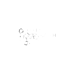 C#Cc1cc(F)ccc1[C@@H]1N=C(c2nccs2)NC(CN2CCO[C@H](CCC(=O)O)C2)=C1C(=O)OCC